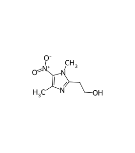 Cc1nc(CCO)n(C)c1[N+](=O)[O-]